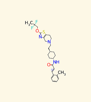 Cc1ccccc1/C=C/C(=O)N[C@H]1CC[C@H](CCN2CCc3sc(OCC(C)(F)F)nc3C2)CC1